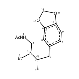 CCN(CNC(C)=O)[C@@H](C)Cc1ccc2c(c1)OCO2